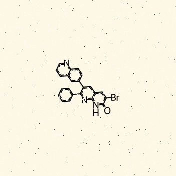 O=c1[nH]c2nc(-c3ccccc3)c(-c3ccc4ncccc4c3)cc2cc1Br